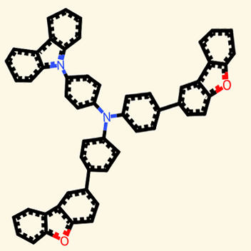 c1ccc2c(c1)oc1ccc(-c3ccc(N(c4ccc(-c5ccc6oc7ccccc7c6c5)cc4)c4ccc(-n5c6ccccc6c6ccccc65)cc4)cc3)cc12